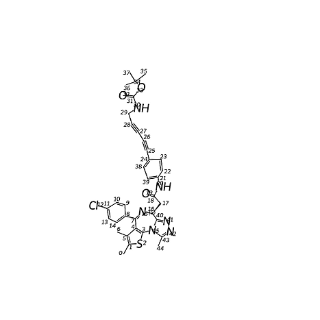 Cc1sc2c(c1C)C(c1ccc(Cl)cc1)=N[C@@H](CC(=O)Nc1ccc(C#CC#CCNC(=O)OC(C)(C)C)cc1)c1nnc(C)n1-2